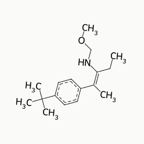 CC/C(NCOC)=C(\C)c1ccc(C(C)(C)C)cc1